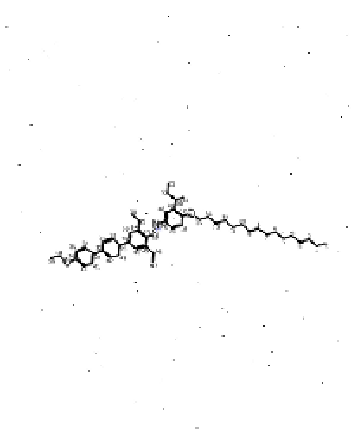 CCCCCCCCCCCCCCCCOc1ccc(/N=N/c2c(CC)cc(-c3ccc(-c4ccc(OCC)cc4)cc3)cc2CC)cc1C(C)CC